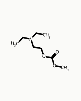 CCN(CC)CCOC(=O)OC